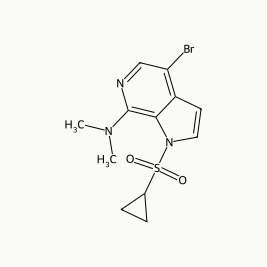 CN(C)c1ncc(Br)c2ccn(S(=O)(=O)C3CC3)c12